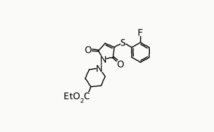 CCOC(=O)C1CCN(N2C(=O)C=C(Sc3ccccc3F)C2=O)CC1